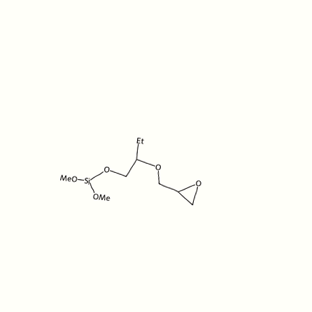 CCC(CO[Si](OC)OC)OCC1CO1